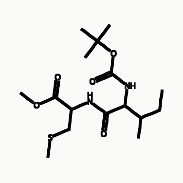 CCC(C)C(NC(=O)OC(C)(C)C)C(=O)NC(CSC)C(=O)OC